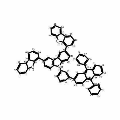 C1=CC2Oc3c(-c4ccc5c(c4)c4cc(-c6cccc7c6oc6ccccc67)ccc4n5-c4cccc(-c5ccc6c(-c7ccccc7)c7ccccc7c(-c7ccccc7)c6c5)c4)cccc3C2C=C1